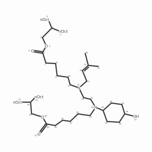 CCCCCCCCC(CCCCCCCC)COC(=O)CCCCCN(CC=C(C)C)CCN(CCCCCC(=O)OCC(CCCCCCCC)CCCCCCCC)C1CCC(O)CC1